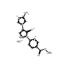 CC(C)(C)OC(=O)c1ccc(-n2[nH]cc(-n3cnc(C(F)(F)F)c3)c2=O)nc1.Cl